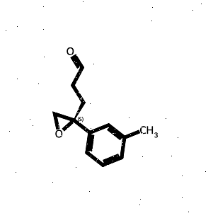 Cc1cccc([C@@]2(CCC=O)CO2)c1